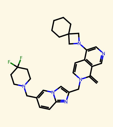 C=C1c2cncc(N3CC4(CCCCC4)C3)c2C=CN1Cc1cn2cc(CN3CCC(F)(F)CC3)ccc2n1